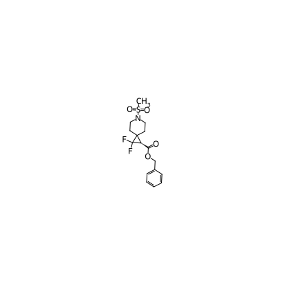 CS(=O)(=O)N1CCC2(CC1)[C@@H](C(=O)OCc1ccccc1)C2(F)F